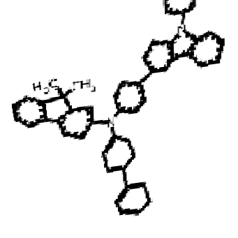 CC1(C)c2ccccc2-c2ccc(N(C3=CC=C(C4=CC=CCC4)CC3)c3ccc(-c4ccc5c(c4)c4ccccc4n5-c4ccccc4)cc3)cc21